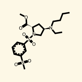 CCCCN(CC)[C@@H]1C[C@@H](C(=O)OC)N(S(=O)(=O)c2cccc(S(C)(=O)=O)c2)C1